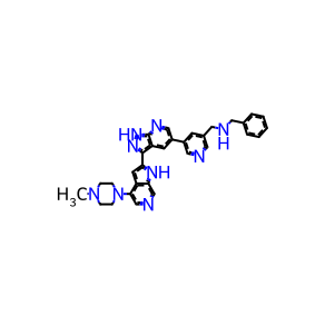 CN1CCN(c2cncc3[nH]c(-c4n[nH]c5ncc(-c6cncc(CNCc7ccccc7)c6)cc45)cc23)CC1